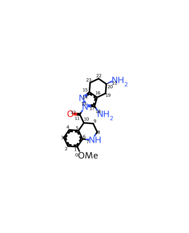 COc1cccc2c1NCCC2C(=O)n1nc2c(c1N)C[C@H](N)CC2